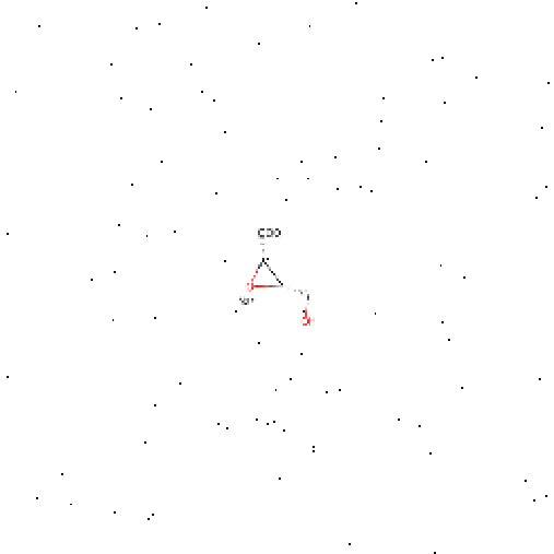 O=C([O-])[C@H]1O[C@H]1CO.[Na+]